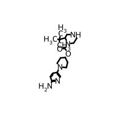 CC(C)(C)C1CNCCN1C(=O)OC1CCN(c2ccc(N)nc2)CC1